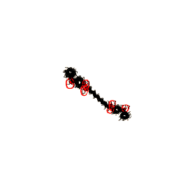 O=C(CCCCCCCCCCC(=O)Oc1ccc(C(=O)c2ccccc2)cc1)Oc1ccc(C(=O)c2ccccc2)cc1